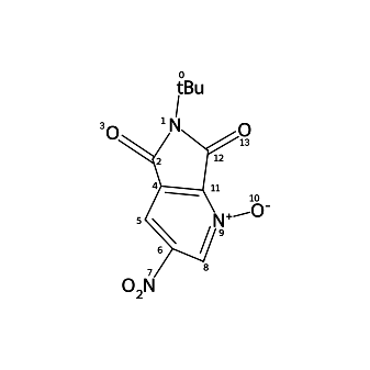 CC(C)(C)N1C(=O)c2cc([N+](=O)[O-])c[n+]([O-])c2C1=O